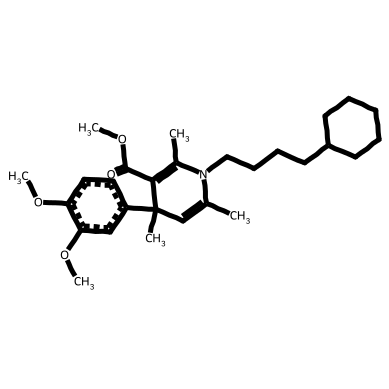 COC(=O)C1=C(C)N(CCCCC2CCCCC2)C(C)=CC1(C)c1ccc(OC)c(OC)c1